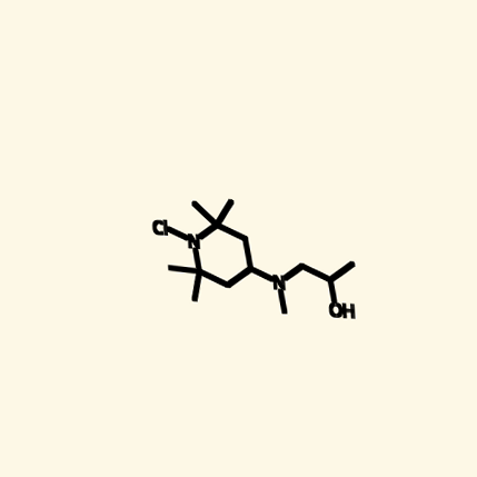 CC(O)CN(C)C1CC(C)(C)N(Cl)C(C)(C)C1